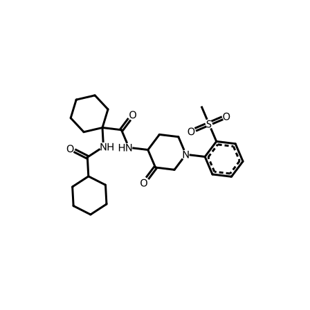 CS(=O)(=O)c1ccccc1N1CCC(NC(=O)C2(NC(=O)C3CCCCC3)CCCCC2)C(=O)C1